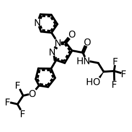 O=C(NC[C@H](O)C(F)(F)F)c1cc(-c2ccc(OC(F)C(F)F)cc2)nn(-c2cccnc2)c1=O